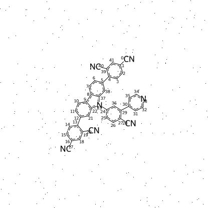 N#Cc1ccc(-c2ccc3c4ccc(-c5ccc(C#N)cc5C#N)cc4n(-c4ccc(C#N)c(-c5ccncc5)c4)c3c2)c(C#N)c1